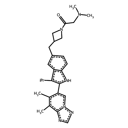 Cc1c(-c2[nH]c3ccc(CC4CN(C(=O)CN(C)C)C4)cc3c2C(C)C)cn2ncnc2c1C